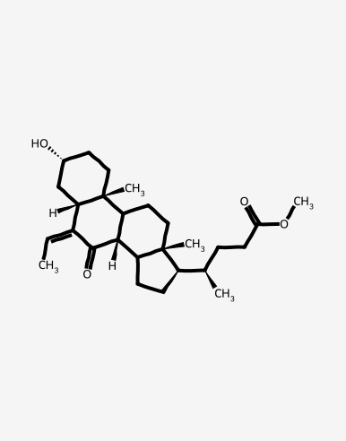 C/C=C1\C(=O)[C@H]2C3CC[C@H]([C@H](C)CCC(=O)OC)[C@@]3(C)CCC2[C@@]2(C)CC[C@@H](O)C[C@@H]12